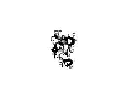 CC[C@H]1CC(F)(F)C[C@@H](C(=O)N[C@H](C#N)C[C@@H]2CCNC2=O)N1C(=O)[C@H](CC1CCC1)NC(=O)C(F)(F)F